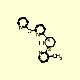 Cc1cccnc1[C@@H]1CCC[C@H](c2cccc(Oc3ccccn3)n2)N1